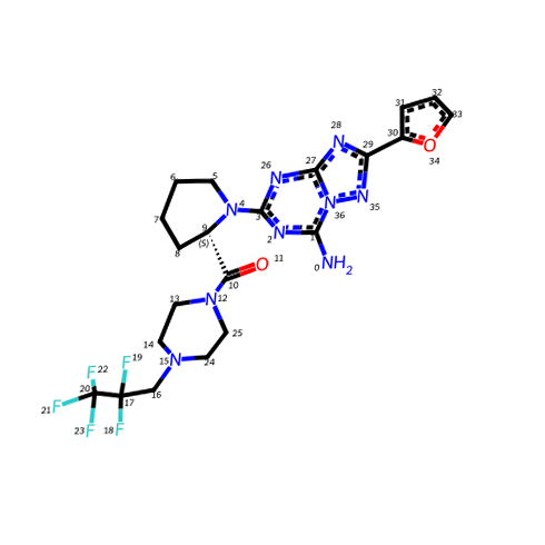 Nc1nc(N2CCCC[C@H]2C(=O)N2CCN(CC(F)(F)C(F)(F)F)CC2)nc2nc(-c3ccco3)nn12